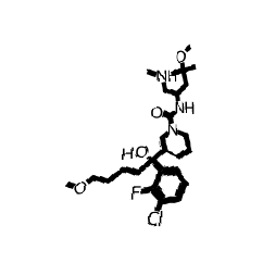 CNCC(CC(C)(C)OC)NC(=O)N1CCC[C@@H]([C@@](O)(CCCCOC)c2cccc(Cl)c2F)C1